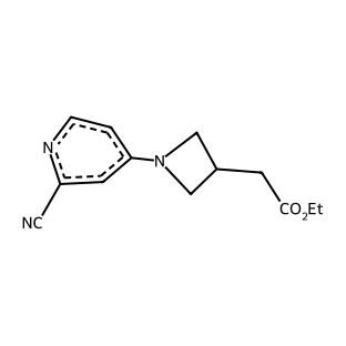 CCOC(=O)CC1CN(c2ccnc(C#N)c2)C1